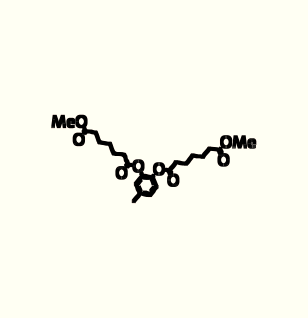 COC(=O)CCCCCC(=O)Oc1ccc(C)cc1OC(=O)CCCCCC(=O)OC